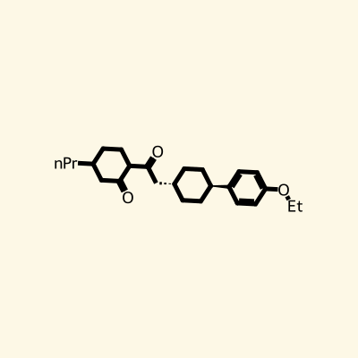 CCCC1CCC(C(=O)C[C@H]2CC[C@H](c3ccc(OCC)cc3)CC2)C(=O)C1